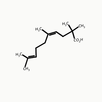 CC(C)=CCC/C(C)=C\CC(C)(C)C(=O)O